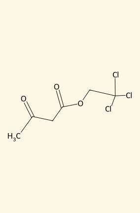 CC(=O)CC(=O)OCC(Cl)(Cl)Cl